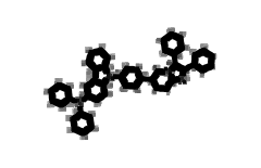 c1ccc(-c2nc3ccc(-c4ccc(-n5c6ccccc6c6cc(N(c7ccccc7)c7ccccc7)ccc65)cc4)cn3c2-c2ccccc2)cc1